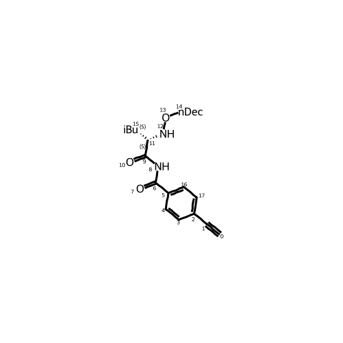 C#Cc1ccc(C(=O)NC(=O)[C@@H](NOCCCCCCCCCC)[C@@H](C)CC)cc1